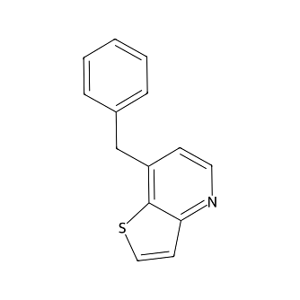 c1ccc(Cc2ccnc3ccsc23)cc1